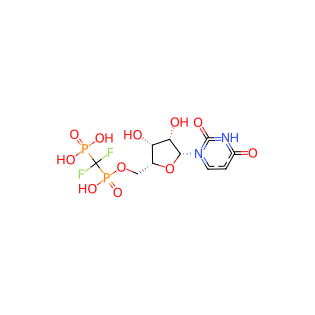 O=c1ccn([C@@H]2O[C@H](COP(=O)(O)C(F)(F)P(=O)(O)O)[C@H](O)[C@@H]2O)c(=O)[nH]1